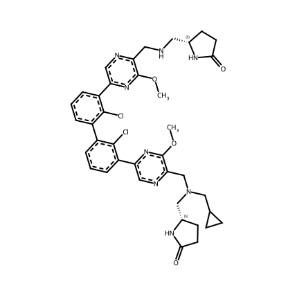 COc1nc(-c2cccc(-c3cccc(-c4cnc(CN(CC5CC5)C[C@@H]5CCC(=O)N5)c(OC)n4)c3Cl)c2Cl)cnc1CNC[C@@H]1CCC(=O)N1